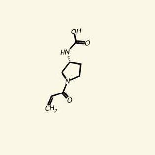 C=CC(=O)N1CC[C@@H](NC(=O)O)C1